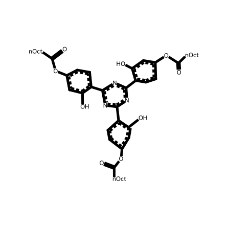 CCCCCCCCC(=O)Oc1ccc(-c2nc(-c3ccc(OC(=O)CCCCCCCC)cc3O)nc(-c3ccc(OC(=O)CCCCCCCC)cc3O)n2)c(O)c1